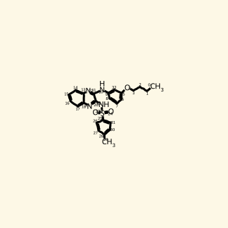 CCCCOc1cccc(Nc2nc3ccccc3nc2NS(=O)(=O)c2ccc(C)cc2)c1